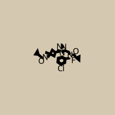 O=C(C1CC1)N1CC2(CC(c3nnc4n3-c3ccc(Cl)cc3CN(C(=O)C3(F)CC3)C4)C2)C1